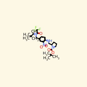 CC(N(Cc1ccc(NCC2CCCN2C(=O)OC(C)(C)C)c([N+](=O)[O-])c1)C(=O)C(F)(F)F)C(C)(C)C